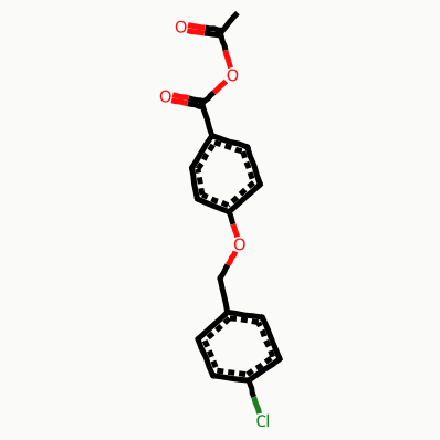 CC(=O)OC(=O)c1ccc(OCc2ccc(Cl)cc2)cc1